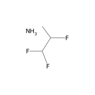 CC(F)C(F)F.N